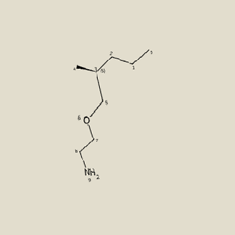 CCC[C@H](C)COCCN